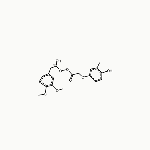 COc1ccc(C[C@@H](O)OOC(=O)COc2ccc(O)c(C)c2)cc1OC